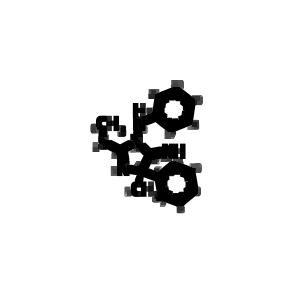 CSC1=N[C@@](C)(c2ccccc2)C(=N)N1Nc1ccccc1